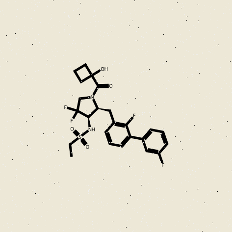 CCS(=O)(=O)N[C@@H]1[C@H](Cc2cccc(-c3cccc(F)c3)c2F)N(C(=O)C2(O)CCC2)CC1(F)F